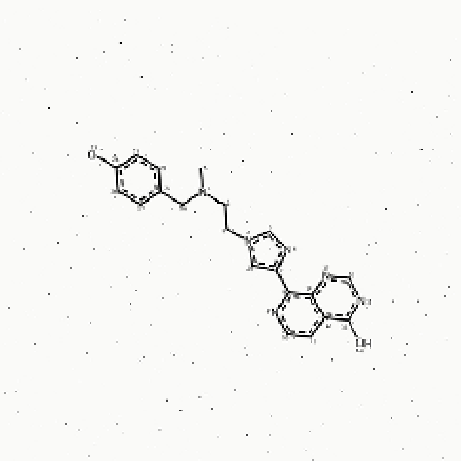 CN(CCn1cnc(-c2nccc3c(O)ncnc23)c1)Cc1ccc(Cl)cc1